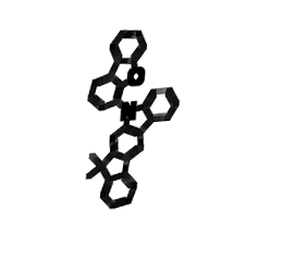 CC1(C)c2ccccc2-c2cc3c4ccccc4n(-c4cccc5c4oc4ccccc45)c3cc21